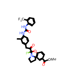 COC(=O)c1ccc(OC(F)(C(=O)Cc2ccc(NC(=O)Nc3ccccc3C(F)(F)F)c(C)c2)N2CCCC2)cc1